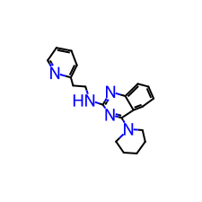 c1ccc(CCNc2nc(N3CCCCC3)c3ccccc3n2)nc1